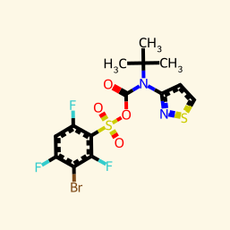 CC(C)(C)N(C(=O)OS(=O)(=O)c1c(F)cc(F)c(Br)c1F)c1ccsn1